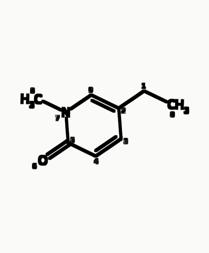 CCc1ccc(=O)n(C)c1